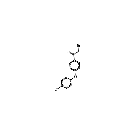 O=C(CBr)c1ccc(Oc2ccc(Cl)cc2)cc1